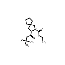 CCOC(=O)[C@@H]1CC2(CCCC2)CN1C(=O)OC(C)(C)C